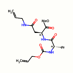 C=CCNC(=O)C[C@H](NC(=O)[C@@H](NC(=O)OCC=C)C(C)C)C(=O)OC